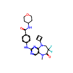 CN1C(=O)C(F)(F)CN(C2=CC=C2)c2nc(Nc3ccc(C(=O)NC4CCOCC4)cc3)ncc21